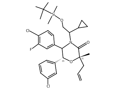 C=CC[C@]1(C)O[C@H](c2cccc(Cl)c2)C(c2ccc(Cl)c(F)c2)N(C(CO[Si](C)(C)C(C)(C)C)C2CC2)C1=O